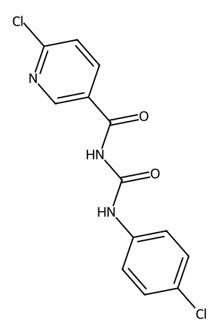 O=C(NC(=O)c1ccc(Cl)nc1)Nc1ccc(Cl)cc1